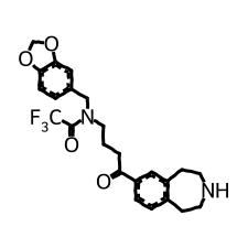 O=C(CCCN(Cc1ccc2c(c1)OCO2)C(=O)C(F)(F)F)c1ccc2c(c1)CCNCC2